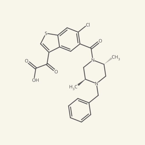 C[C@@H]1CN(Cc2ccccc2)[C@@H](C)CN1C(=O)c1cc2c(C(=O)C(=O)O)csc2cc1Cl